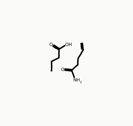 C=CCCC(N)=O.CCCC(=O)O